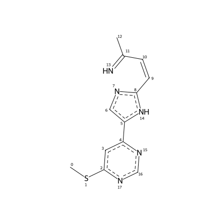 CSc1cc(-c2cnc(/C=C\C(C)=N)[nH]2)ncn1